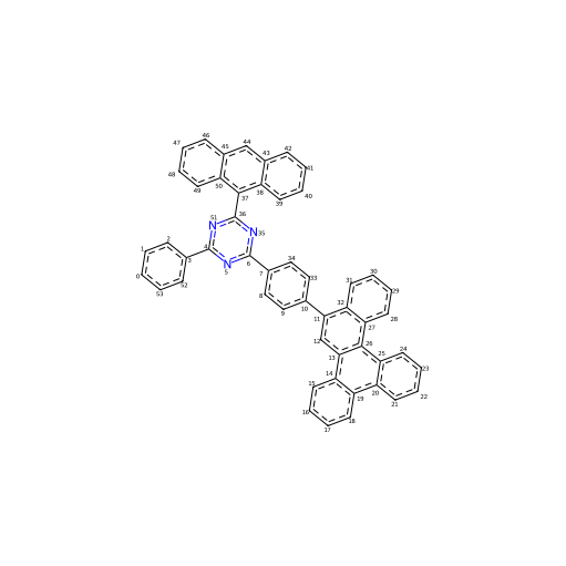 c1ccc(-c2nc(-c3ccc(-c4cc5c6ccccc6c6ccccc6c5c5ccccc45)cc3)nc(-c3c4ccccc4cc4ccccc34)n2)cc1